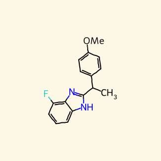 COc1ccc(C(C)c2nc3c(F)cccc3[nH]2)cc1